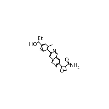 CCC(O)c1cc(C)c(-c2cc3cnc(C4OCC4C(N)=O)cc3cn2)cn1